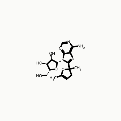 CC1=CCC(C)(c2nc3c(N)ncnc3n2[C@@H]2O[C@H](CO)[C@@H](O)[C@H]2O)O1